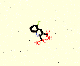 O=C(O)c1cc2c(F)cccc2nc1C(=O)O